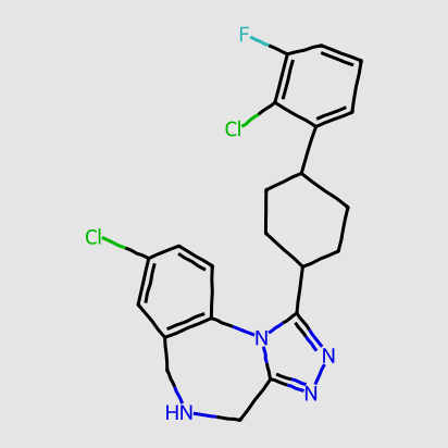 Fc1cccc(C2CCC(c3nnc4n3-c3ccc(Cl)cc3CNC4)CC2)c1Cl